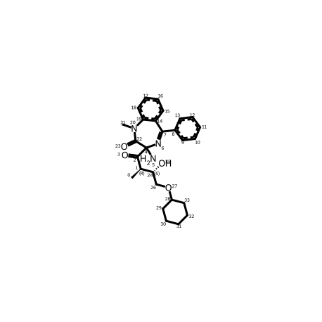 C[C@@H](C(=O)C1(N)N=C(c2ccccc2)c2ccccc2N(C)C1=O)[C@H](O)COC1CCCCC1